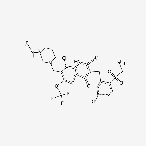 CCS(=O)(=O)c1ccc(Cl)cc1Cn1c(=O)[nH]c2c(Cl)c(CN3CCC[C@H](NC)C3)c(OC(F)(F)F)cc2c1=O